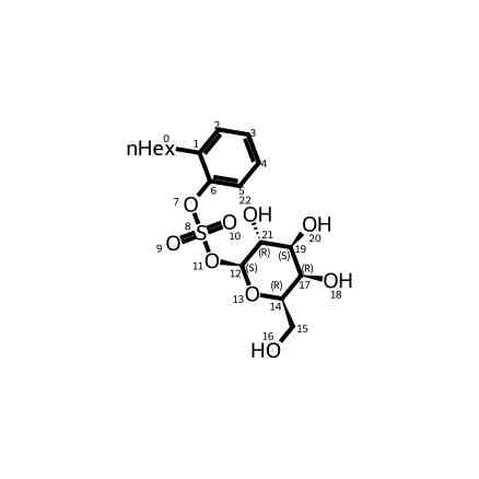 CCCCCCc1ccccc1OS(=O)(=O)O[C@@H]1O[C@H](CO)[C@H](O)[C@H](O)[C@H]1O